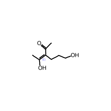 CC(=O)/C(CCCO)=C(\C)O